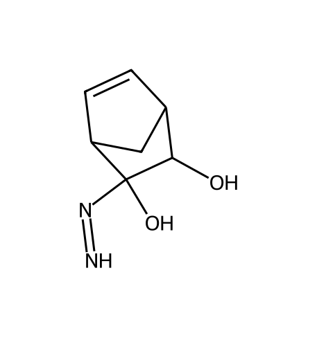 N=NC1(O)C2C=CC(C2)C1O